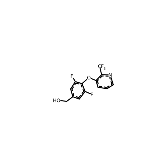 OCc1cc(F)c(Oc2cccnc2C(F)(F)F)c(F)c1